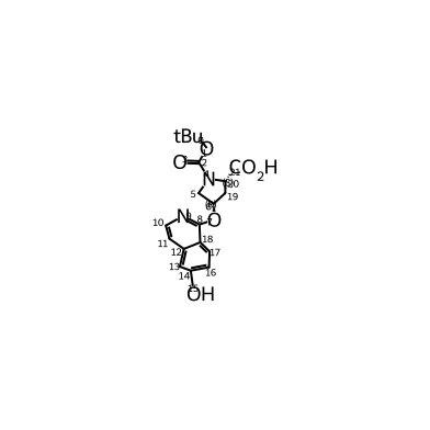 CC(C)(C)OC(=O)N1C[C@H](Oc2nccc3cc(O)ccc23)C[C@H]1C(=O)O